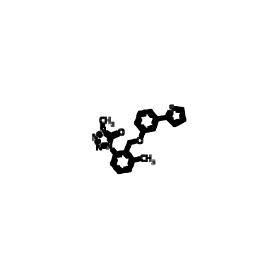 Cc1cccc(-n2nnn(C)c2=O)c1COc1cccc(-c2cccs2)c1